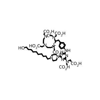 O=C(O)CN1CCN(CC(=O)O)CCN(CC(=O)O)C(Cc2ccc(Nc3nc(N4CCN(CCCCCCCCCCO)CC4)nc(N(CC(=O)O)CC(=O)O)n3)cc2)CN(CC(=O)O)CC1